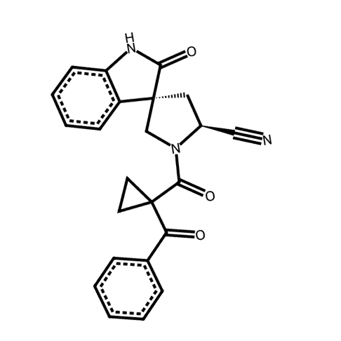 N#C[C@@H]1C[C@@]2(CN1C(=O)C1(C(=O)c3ccccc3)CC1)C(=O)Nc1ccccc12